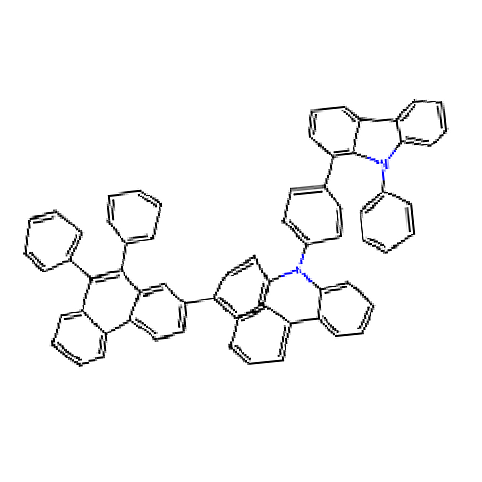 c1ccc(-c2ccccc2N(c2ccc(-c3ccc4c(c3)c(-c3ccccc3)c(-c3ccccc3)c3ccccc34)cc2)c2ccc(-c3cccc4c5ccccc5n(-c5ccccc5)c34)cc2)cc1